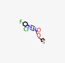 O=C(COCc1ccsc1)N1CCN(c2ccc(F)cc2Cl)CC1